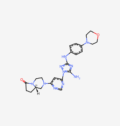 Nc1nc(Nc2ccc(N3CCOCC3)cc2)nn1-c1cc(N2CCN3C(=O)CC[C@H]3C2)ncn1